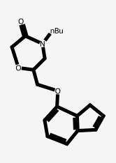 CCCCN1CC(COc2cccc3c2CC=C3)OCC1=O